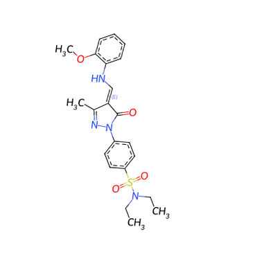 CCN(CC)S(=O)(=O)c1ccc(N2N=C(C)/C(=C\Nc3ccccc3OC)C2=O)cc1